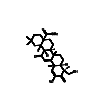 COC(=O)[C@]12CCC(C)(C)C[C@H]1[C@H]1C(=O)C=C3[C@@]4(C)C=C(C#N)C(=O)[C@](C)(CO)[C@@H]4CC[C@@]3(C)[C@]1(C)CC2